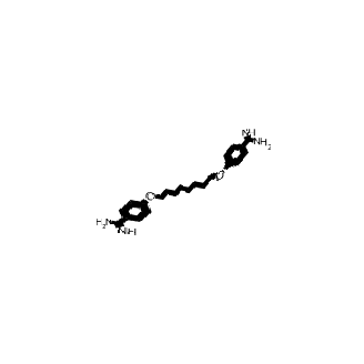 N=C(N)c1ccc(OCCCCCCCCOc2ccc(C(=N)N)cc2)cc1